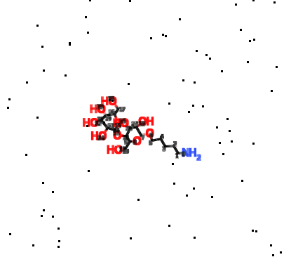 NCCCCCO[C@@H]1OC(CO)[C@@H](O[C@@H]2OC(CO)[C@@H](O)C(O)C2O)C(O)C1O